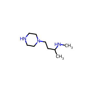 CNC(C)CCN1CCNCC1